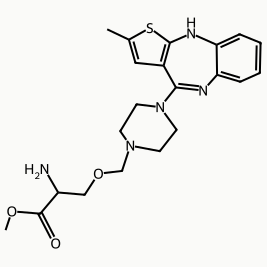 COC(=O)C(N)COCN1CCN(C2=Nc3ccccc3Nc3sc(C)cc32)CC1